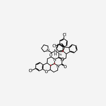 O=C(N[C@H](Cc1ccc(Cl)cc1Cl)C(=O)N1CCC(c2ccc(Cl)cc2OC2CCN(C(=O)OCC3c4ccccc4-c4ccccc43)CC2)CC1)N1CCCC1